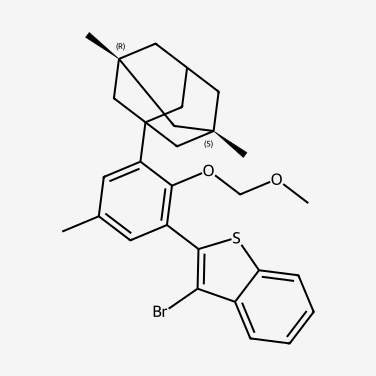 COCOc1c(-c2sc3ccccc3c2Br)cc(C)cc1C12CC3C[C@@](C)(C1)C[C@](C)(C3)C2